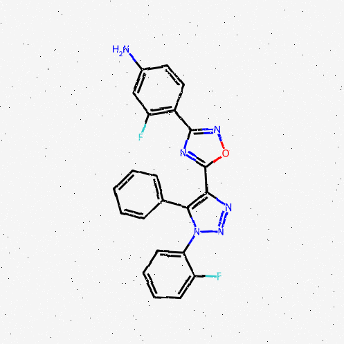 Nc1ccc(-c2noc(-c3nnn(-c4ccccc4F)c3-c3ccccc3)n2)c(F)c1